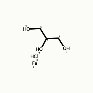 Cl.OCC(O)CO.[Fe]